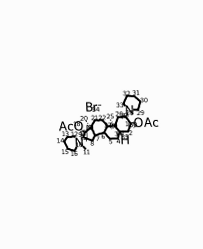 CC(=O)O[C@H]1C[C@@H]2CCC3C4C[C@H]([N+]5(C)CCCCC5)[C@@H](OC(C)=O)[C@@]4(C)CCC3[C@@]2(C)C[C@@H]1N1CCCCC1.[Br-]